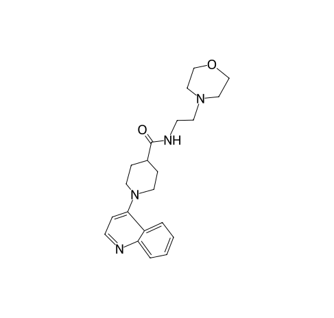 O=C(NCCN1CCOCC1)C1CCN(c2ccnc3ccccc23)CC1